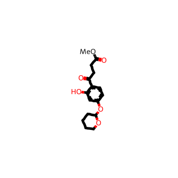 COC(=O)CCC(=O)c1ccc(OC2CCCCO2)cc1O